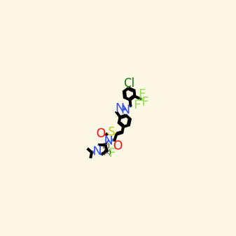 CC(C)N1C[C@@H](F)[C@H](N2C(=O)SC(=Cc3ccc4c(cnn4Cc4ccc(Cl)cc4C(F)(F)F)c3)C2=O)C1